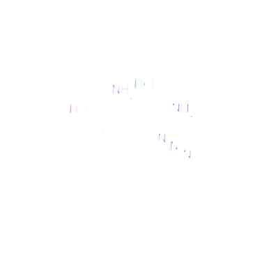 Cl.[N-]=[N+]=NC(N)CCC(N)C(=O)O